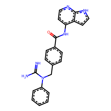 N=C(N)N(Cc1ccc(C(=O)Nc2ccnc3[nH]ccc23)cc1)c1ccccc1